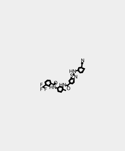 Cc1ccc(NC(=O)c2cccc(C(F)(F)F)c2)cc1NC(=O)c1ccc2nc(Nc3cccc(C#N)c3)sc2c1